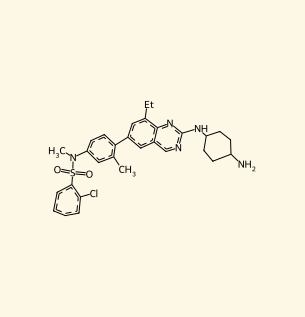 CCc1cc(-c2ccc(N(C)S(=O)(=O)c3ccccc3Cl)cc2C)cc2cnc(NC3CCC(N)CC3)nc12